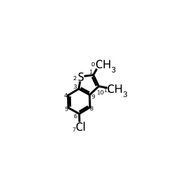 Cc1sc2ccc(Cl)cc2c1C